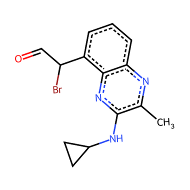 Cc1nc2cccc(C(Br)C=O)c2nc1NC1CC1